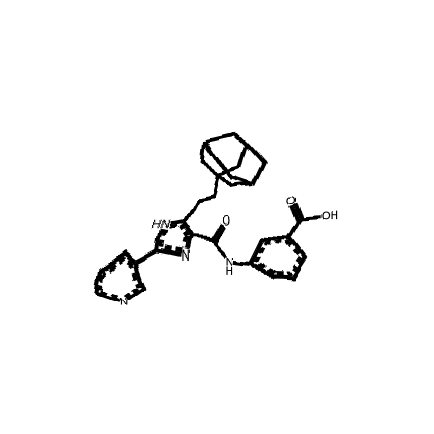 O=C(O)c1cccc(NC(=O)c2nc(-c3cccnc3)[nH]c2CCC23CC4CC(CC(C4)C2)C3)c1